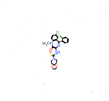 CN1C(=O)C(NC(=S)N2CCC3(CC2)OCCO3)N=C(c2ccccc2Cl)c2cc(Cl)ccc21